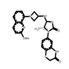 COc1ccc2cccc(N3CC(NC4OC(=O)N(c5ccc6c(c5)NC(=O)CS6)[C@@H]4C)C3)c2n1